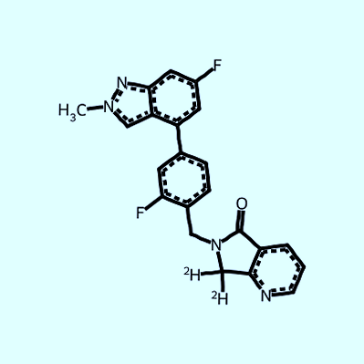 [2H]C1([2H])c2ncccc2C(=O)N1Cc1ccc(-c2cc(F)cc3nn(C)cc23)cc1F